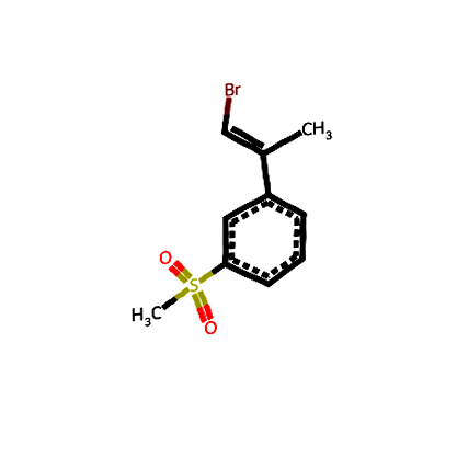 CC(=CBr)c1cccc(S(C)(=O)=O)c1